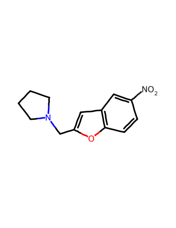 O=[N+]([O-])c1ccc2oc(CN3CCCC3)cc2c1